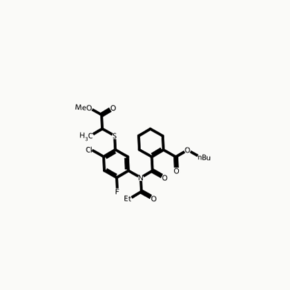 CCCCOC(=O)C1=C(C(=O)N(C(=O)CC)c2cc(SC(C)C(=O)OC)c(Cl)cc2F)CCCC1